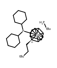 CC(C)(C)CC[C@@]12[CH]3[CH]4[CH]5[C]1(P(C1CCCCC1)C1CCCCC1)[Fe]45321678[CH]2[CH]1[CH]6[CH]7[CH]28.CC(C)(C)P